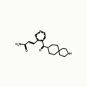 NC(=O)/C=C/c1cnccc1C(=O)N1CCC2(CCNCC2)CC1